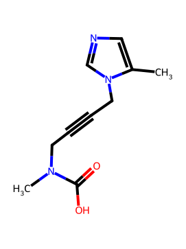 Cc1cncn1CC#CCN(C)C(=O)O